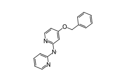 c1ccc(COc2ccnc([N]c3ccccn3)c2)cc1